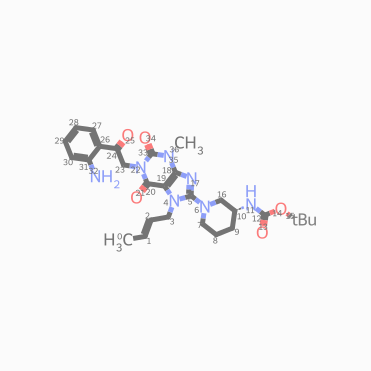 CC=CCn1c(N2CCC[C@@H](NC(=O)OC(C)(C)C)C2)nc2c1c(=O)n(CC(=O)c1ccccc1N)c(=O)n2C